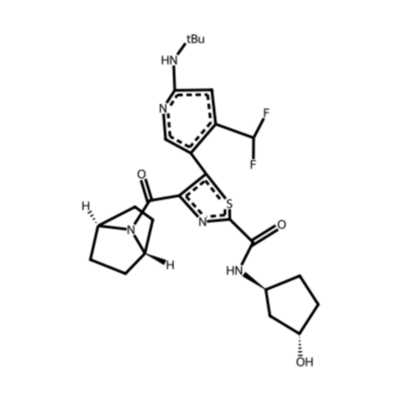 CC(C)(C)Nc1cc(C(F)F)c(-c2sc(C(=O)N[C@H]3CC[C@H](O)C3)nc2C(=O)N2[C@H]3CC[C@H]2CC3)cn1